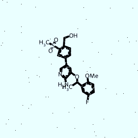 COc1ccc(F)cc1C(C)Oc1cc(-c2ccc(CO)c(S(C)(=O)=O)c2)cnc1N